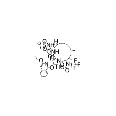 CCOc1cc2ccccc2c(O[C@@H]2C[C@H]3C(=O)N[C@]4(C(=O)NS(=O)(=O)C5(C)CC5)C[C@H]4C=CCC[C@@H](C)C[C@@H](C)[C@H](N(C(=O)O)C(C)(C)C(F)(F)F)C(=O)N3C2)n1